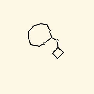 C1CCCCC([P]C2CCC2)CCCC1